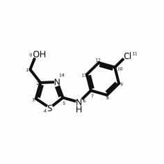 OCc1csc(Nc2ccc(Cl)cc2)n1